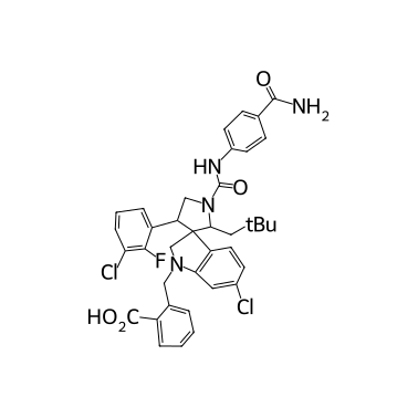 CC(C)(C)CC1N(C(=O)Nc2ccc(C(N)=O)cc2)CC(c2cccc(Cl)c2F)C12CN(Cc1ccccc1C(=O)O)c1cc(Cl)ccc12